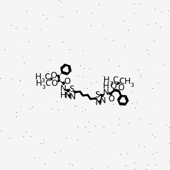 CC1(C)OC(C(=O)Nc2nnc(CCCCc3nnc(NC(=O)[C@H]4OC(C)(C)O[C@@H]4c4ccccc4)s3)s2)=C(c2ccccc2)O1